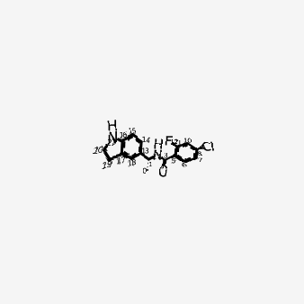 C[C@@H](NC(=O)c1ccc(Cl)cc1F)c1ccc2c(c1)CCN2